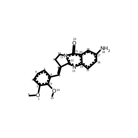 COc1cccc(C=C2CCn3c2nc2ccc(N)cc2c3=O)c1OC